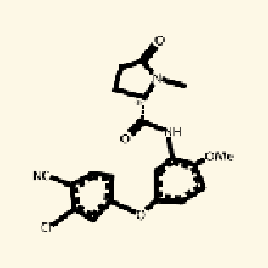 COc1ccc(Oc2ccc(C#N)c(Cl)c2)cc1NC(=O)[C@@H]1CCC(=O)N1C